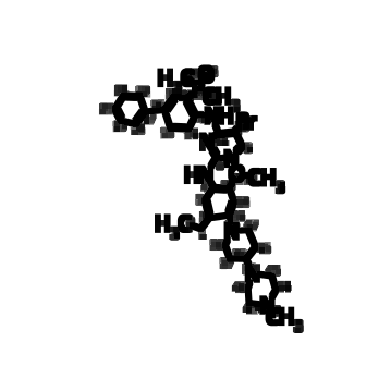 CCc1cc(Nc2ncc(Br)c(Nc3ccc(-c4ccccc4)cc3P(C)(C)=O)n2)c(OC)cc1N1CCC(N2CCN(C)CC2)CC1